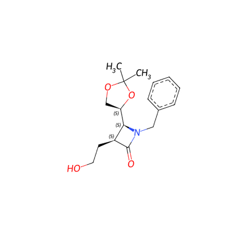 CC1(C)OC[C@H]([C@@H]2[C@H](CCO)C(=O)N2Cc2ccccc2)O1